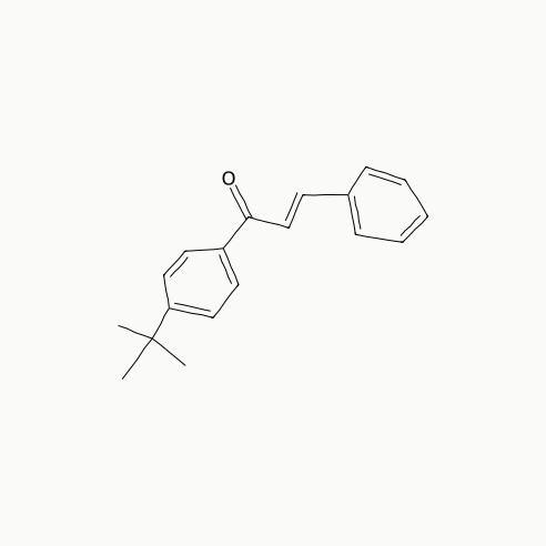 CC(C)(C)c1ccc(C(=O)C=Cc2ccccc2)cc1